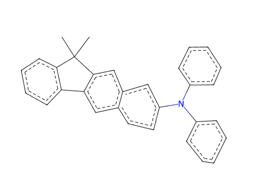 CC1(C)c2ccccc2-c2cc3ccc(N(c4ccccc4)c4ccccc4)cc3cc21